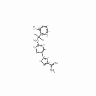 CC(C)(Nc1ncc(C2=NC(C(N)=O)=CC2)cn1)c1ncccc1Cl